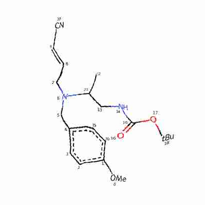 COc1ccc(CN(C/C=C/C#N)C(C)CNC(=O)OC(C)(C)C)cc1